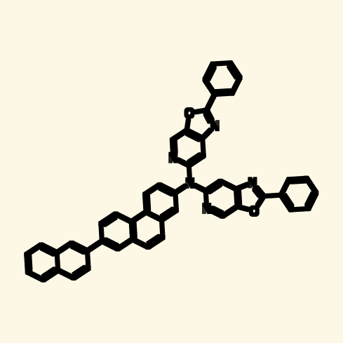 c1ccc(-c2nc3cc(N(c4ccc5c(ccc6cc(-c7ccc8ccccc8c7)ccc65)c4)c4cc5nc(-c6ccccc6)oc5cn4)ncc3o2)cc1